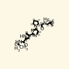 CC(C)NC(=O)c1cc(-c2nccc(N3CCC[C@@H]3C(=O)NCC(F)(F)F)n2)c[nH]1